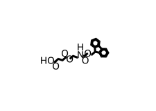 O=C(O)CCC(=O)OCCNC(=O)OCC1c2ccccc2-c2ccccc21